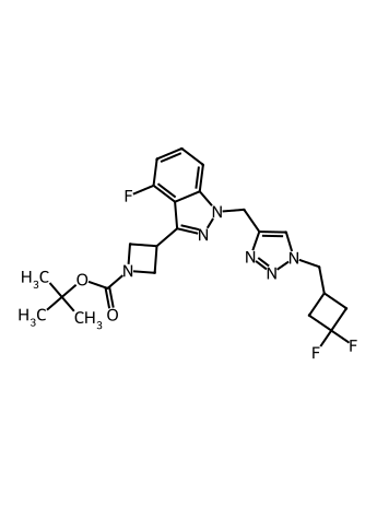 CC(C)(C)OC(=O)N1CC(c2nn(Cc3cn(CC4CC(F)(F)C4)nn3)c3cccc(F)c23)C1